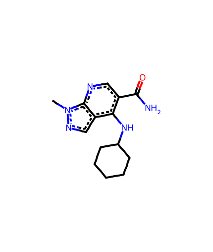 Cn1ncc2c(NC3CCCCC3)c(C(N)=O)cnc21